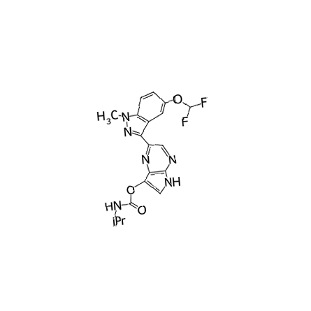 CC(C)NC(=O)Oc1c[nH]c2ncc(-c3nn(C)c4ccc(OC(F)F)cc34)nc12